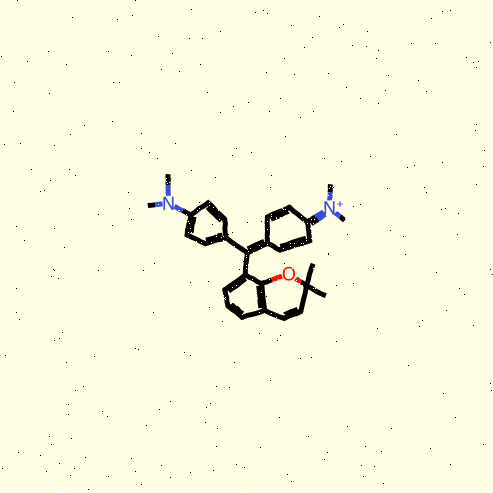 CN(C)c1ccc(C(=C2C=CC(=[N+](C)C)C=C2)c2cccc3c2OC(C)(C)C=C3)cc1